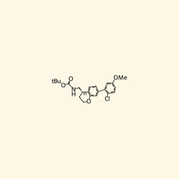 COc1ccc(Cl)c(-c2ccc3c(c2)OCC[C@H]3CNC(=O)OC(C)(C)C)c1